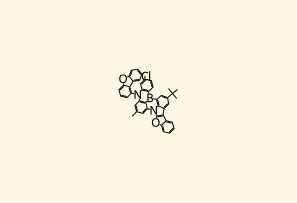 Cc1cc2c3c(c1)-n1c4oc5ccccc5c4c4cc(C(C)(C)C)cc(c41)B3c1ccc(Cl)cc1N2c1cccc2oc3ccccc3c12